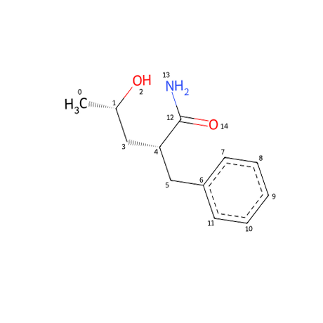 C[C@H](O)C[C@@H](Cc1ccccc1)C(N)=O